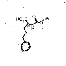 CCCOC(=O)N[C@@H](CSCc1ccccc1)C(=O)O